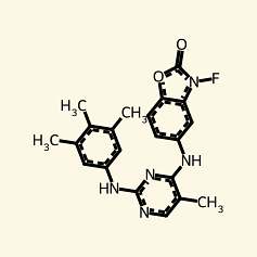 Cc1cnc(Nc2cc(C)c(C)c(C)c2)nc1Nc1ccc2oc(=O)n(F)c2c1